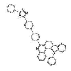 c1ccc(-c2nnc(-c3ccc(-c4ccc(-c5nc6ccccc6c6c5ccc5c7ccccc7n(-c7ccccc7)c56)cc4)cc3)o2)cc1